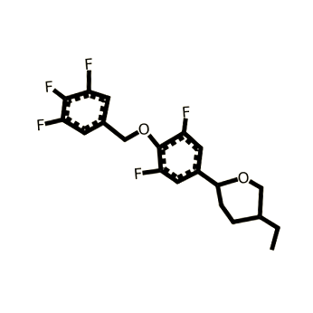 CCC1CCC(c2cc(F)c(OCc3cc(F)c(F)c(F)c3)c(F)c2)OC1